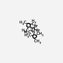 Cc1cc(C)c(N2C(Br)=C(Br)N(c3c(C)cc(C)cc3C)C2C)c(C)c1